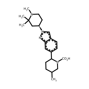 CC1CCC(c2ccc3cn([C@@H]4CCN(C)C(C)(C)C4)nc3c2)N(C(=O)O)C1